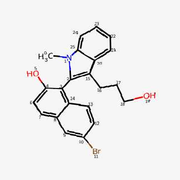 Cn1c(-c2c(O)ccc3cc(Br)ccc23)c(CCCO)c2ccccc21